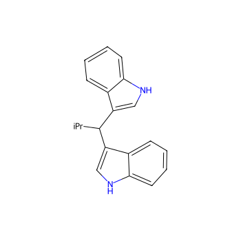 CC(C)C(c1c[nH]c2ccccc12)c1c[nH]c2ccccc12